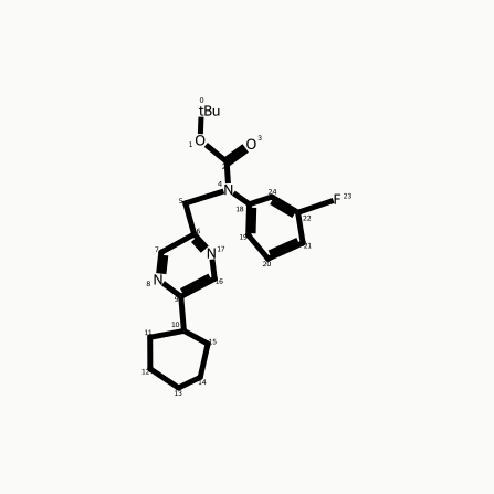 CC(C)(C)OC(=O)N(Cc1cnc(C2CCCCC2)cn1)c1cccc(F)c1